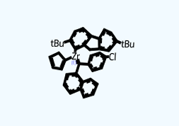 CC(C)(C)c1ccc2c(c1)Cc1c-2ccc(C(C)(C)C)[c]1/[Zr]([C]1=CC=CC1)=[C](\c1ccc(Cl)cc1)c1cccc2ccccc12